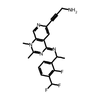 Cc1n/c(=N\C(C)c2cccc(C(F)F)c2F)c2cc(C#CCN)ncc2n1C